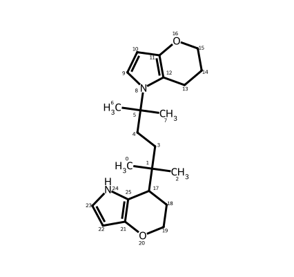 CC(C)(CCC(C)(C)n1ccc2c1CCCO2)C1CCOc2cc[nH]c21